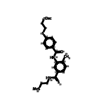 CCCCCCCCCCCCSc1ccc(C(=O)Nc2cc(C(=S)NCCSC)ccc2C)cc1